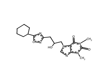 Cn1c(=O)c2c(ncn2CC(O)Cc2noc(C3CCCCC3)n2)n(C)c1=O